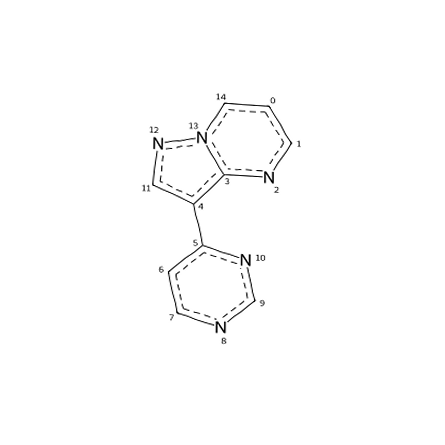 c1cnc2c(-c3ccncn3)cnn2c1